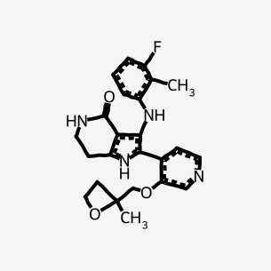 Cc1c(F)cccc1Nc1c(-c2ccncc2OCC2(C)CCO2)[nH]c2c1C(=O)NCC2